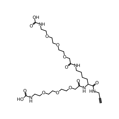 C#CCNC(=O)C(CCCCNC(=O)COCCOCCOCCNC(=O)O)NC(=O)COCCOCCOCCNC(=O)O